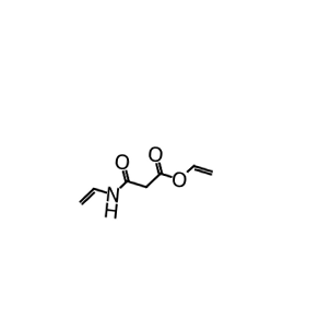 C=CNC(=O)CC(=O)OC=C